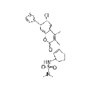 Cc1c(CC2=CC(NS(=O)(=O)N(C)C)CC=C2)c(=O)oc2c1=CC(Cl)C(c1ccsc1)C=2